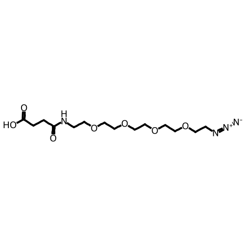 [N-]=[N+]=NCCOCCOCCOCCOCCNC(=O)CCC(=O)O